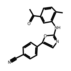 CC(=O)c1ccc(C)c(Nc2ncc(-c3ccc(C#N)cc3)o2)c1